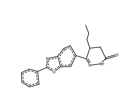 CCCC1CC(=O)NN=C1c1ccc2nc(-c3ccccc3)oc2c1